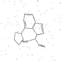 COC(OC)C1C=Cc2cccc(C3CCCC3)c21